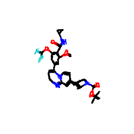 COc1cc(C2=CCN=C3C=C(C4CN(C(=O)OC(C)(C)C)C4)C=CN23)cc(OC(F)F)c1C(=O)NC1CC1